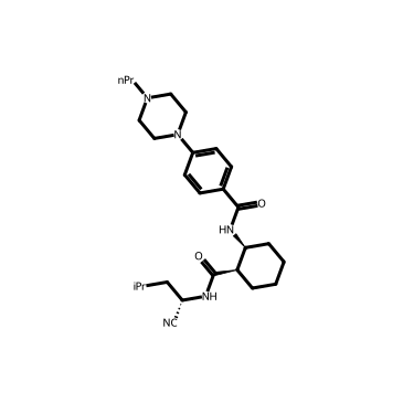 CCCN1CCN(c2ccc(C(=O)N[C@H]3CCCC[C@H]3C(=O)N[C@H](C#N)CC(C)C)cc2)CC1